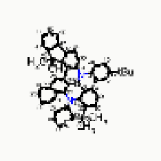 CC(C)(C)c1ccc(N2B3c4cccc5c4N(c4ccccc4C5(C)C)c4c3c(cc3ccccc43)-c3c2ccc2c3C(C)(C)c3ccccc3-2)cc1